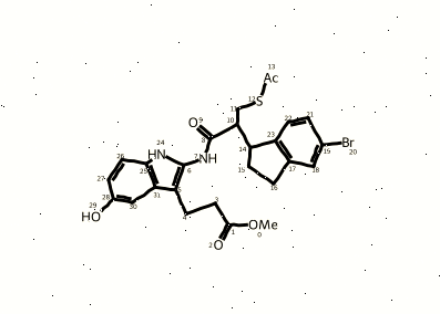 COC(=O)CCc1c(NC(=O)C(CSC(C)=O)C2CCc3cc(Br)ccc32)[nH]c2ccc(O)cc12